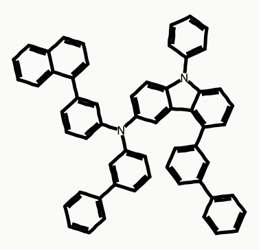 c1ccc(-c2cccc(-c3cccc4c3c3cc(N(c5cccc(-c6ccccc6)c5)c5cccc(-c6cccc7ccccc67)c5)ccc3n4-c3ccccc3)c2)cc1